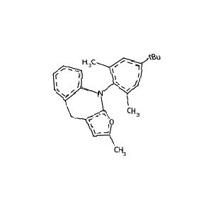 Cc1cc2c(o1)N(c1c(C)cc(C(C)(C)C)cc1C)c1ccccc1C2